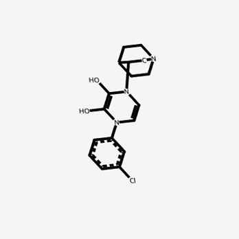 OC1=C(O)N(C2CN3CCC2CC3)C=CN1c1cccc(Cl)c1